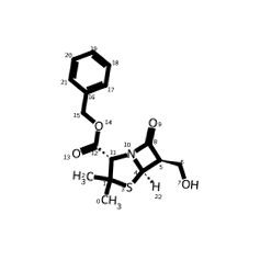 CC1(C)S[C@@H]2[C@H](CO)C(=O)N2[C@H]1C(=O)OCc1ccccc1